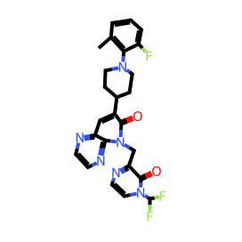 Cc1cccc(F)c1N1CCC(c2cc3nccnc3n(Cc3nccn(C(F)F)c3=O)c2=O)CC1